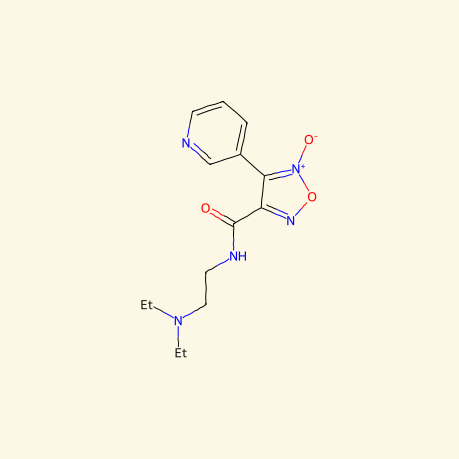 CCN(CC)CCNC(=O)c1no[n+]([O-])c1-c1cccnc1